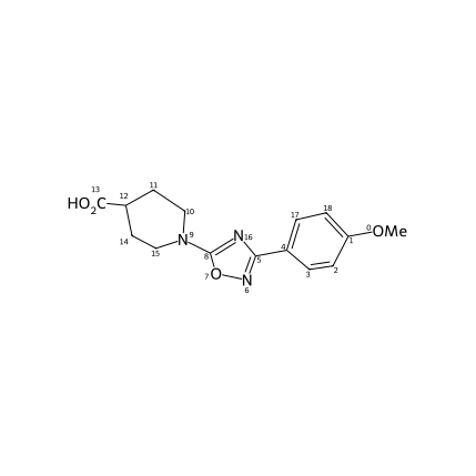 COc1ccc(-c2noc(N3CCC(C(=O)O)CC3)n2)cc1